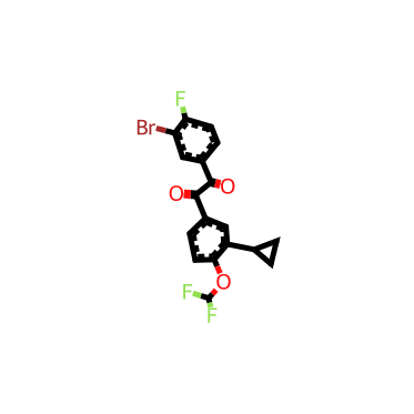 O=C(C(=O)c1ccc(OC(F)F)c(C2CC2)c1)c1ccc(F)c(Br)c1